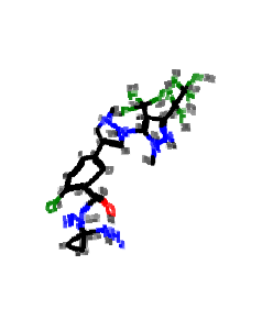 CN1CC(c2ccc(Cl)c(C(=O)NC3(N)CC3)c2)=CN1c1c(C(F)(F)F)c(C(F)(F)C(F)(F)F)nn1C